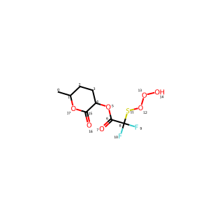 CC1CCC(OC(=O)C(F)(F)SOOO)C(=O)O1